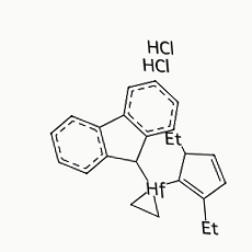 CCC1=[C]([Hf]2([CH]3c4ccccc4-c4ccccc43)[CH2][CH2]2)C(CC)C=C1.Cl.Cl